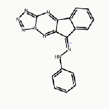 c1ccc(N/N=C2/c3ccccc3-c3nc4nnnn4nc32)cc1